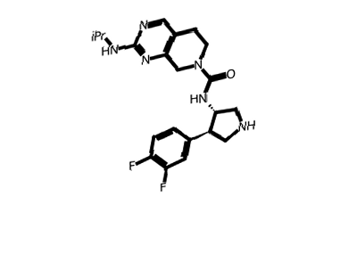 CC(C)Nc1ncc2c(n1)CN(C(=O)N[C@@H]1CNC[C@H]1c1ccc(F)c(F)c1)CC2